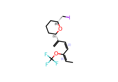 C=C(/C=C\C(=C/C)OC(F)(F)F)[C@@H]1CCC[C@H](CI)O1